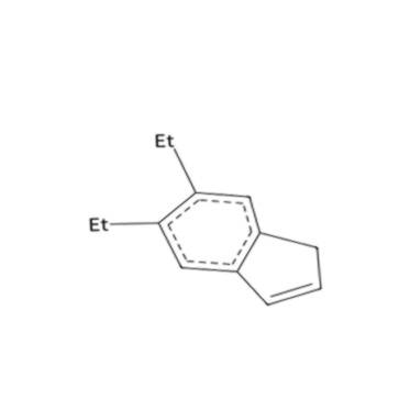 CCc1cc2c(cc1CC)CC=C2